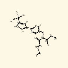 CCOCC(=O)N(Cc1ccc(-c2noc(C(F)(F)F)n2)cc1)C(C)CC